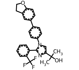 CC(C)(O)c1cn(-c2ccc(-c3ccc4c(c3)CCO4)cc2)c(-c2ccccc2C(F)(F)F)n1